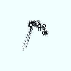 CCCCCCCCCCCCCCOc1cccc(F)c1CN1c2ccc(C(=O)NCc3ccco3)cc2SCC1O